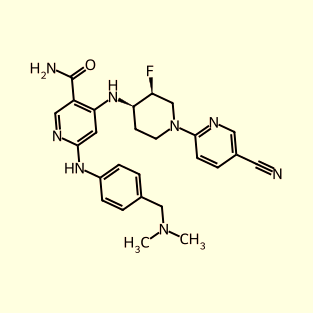 CN(C)Cc1ccc(Nc2cc(N[C@@H]3CCN(c4ccc(C#N)cn4)C[C@@H]3F)c(C(N)=O)cn2)cc1